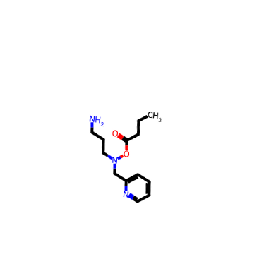 CCCC(=O)ON(CCCN)Cc1ccccn1